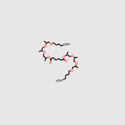 CCCCCCCCCCCCCCOCC(C)OCC(C)OCC(C)OC(=O)CCCCC(=O)OC(C)COC(C)COC(C)COCCCCCCCCCCCCCC